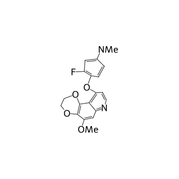 CNc1ccc(Oc2ccnc3cc(OC)c4c(c23)OCCO4)c(F)c1